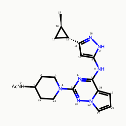 CC(=O)NC1CCN(c2nc(Nc3cc([C@@H]4C[C@H]4C)n[nH]3)c3cccn3n2)CC1